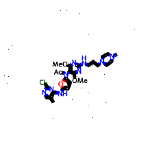 COc1nc(NCCCN2CCN(C)CC2)nc(OC)c1N(C(C)=O)c1ccc(Nc2nc(Cl)ncc2C)o1